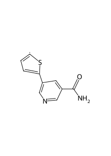 NC(=O)c1cncc(-c2cc[c]s2)c1